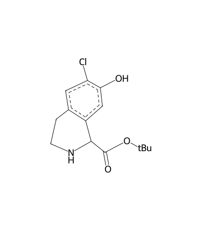 CC(C)(C)OC(=O)C1NCCc2cc(Cl)c(O)cc21